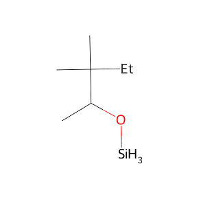 CCC(C)(C)C(C)O[SiH3]